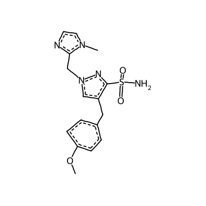 COc1ccc(Cc2cn(Cc3nccn3C)nc2S(N)(=O)=O)cc1